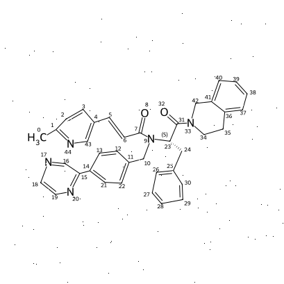 Cc1ccc(C=CC(=O)N(Cc2ccc(-c3cnccn3)cc2)[C@@H](Cc2ccccc2)C(=O)N2CCc3ccccc3C2)cn1